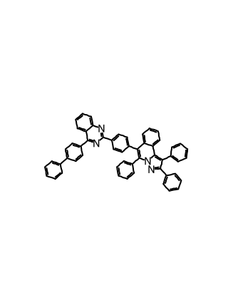 c1ccc(-c2ccc(-c3nc(-c4ccc(-c5c(-c6ccccc6)n6nc(-c7ccccc7)c(-c7ccccc7)c6c6ccccc56)cc4)nc4ccccc34)cc2)cc1